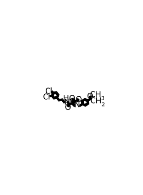 C=C(OC)c1ccc(CN2CC(C(=O)NCCCc3ccc(Cl)c(Cl)c3)=C(O)C2=O)cc1